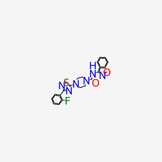 O=C(Nc1noc2ccccc12)N1CCN(c2nc(-c3ccccc3F)ns2)CC1